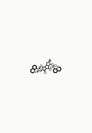 O=C1C2C(=O)N(OS(=O)(=O)c3cccc4cccnc34)C(=O)C2C2C[N+](=O)C(OS(=O)(=O)c3cccc4cccnc34)C12